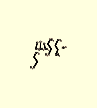 NCCN.NCCN.NCCN.O=[N+]([O-])[O-].O=[N+]([O-])[O-].O=[N+]([O-])[O-].[Rh+3]